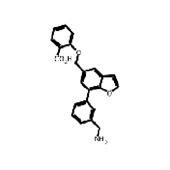 NCc1cccc(-c2cc(COc3ccccc3C(=O)O)cc3ccoc23)c1